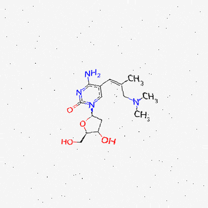 CC(=Cc1cn([C@H]2CC(O)[C@@H](CO)O2)c(=O)nc1N)CN(C)C